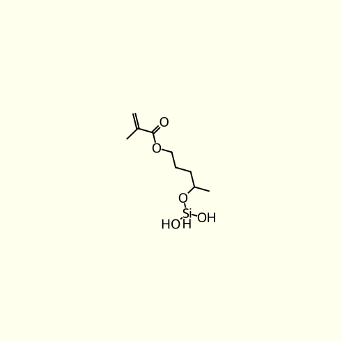 C=C(C)C(=O)OCCCC(C)O[SiH](O)O